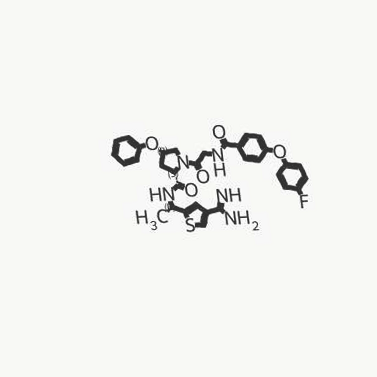 C[C@@H](NC(=O)[C@@H]1C[C@@H](Oc2ccccc2)CN1C(=O)CNC(=O)c1ccc(Oc2ccc(F)cc2)cc1)c1cc(C(=N)N)cs1